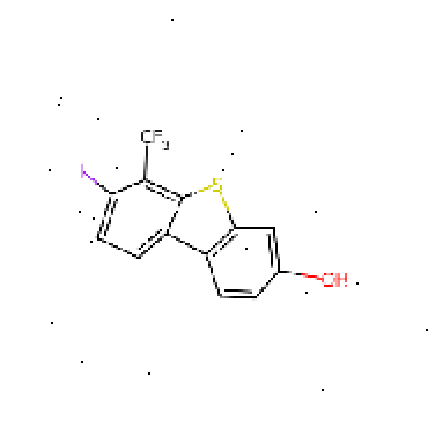 Oc1ccc2c(c1)sc1c(C(F)(F)F)c(I)ccc12